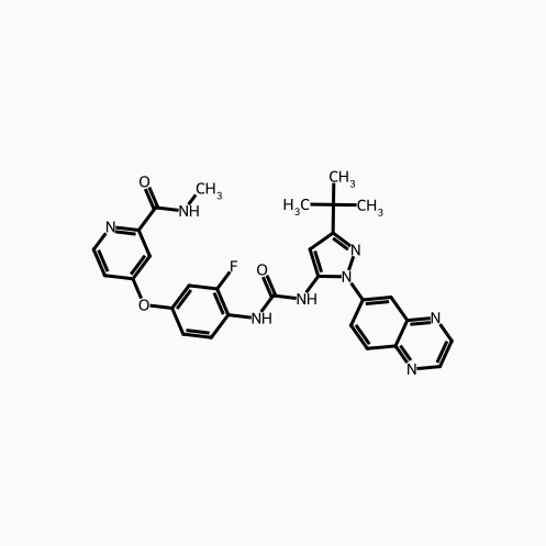 CNC(=O)c1cc(Oc2ccc(NC(=O)Nc3cc(C(C)(C)C)nn3-c3ccc4nccnc4c3)c(F)c2)ccn1